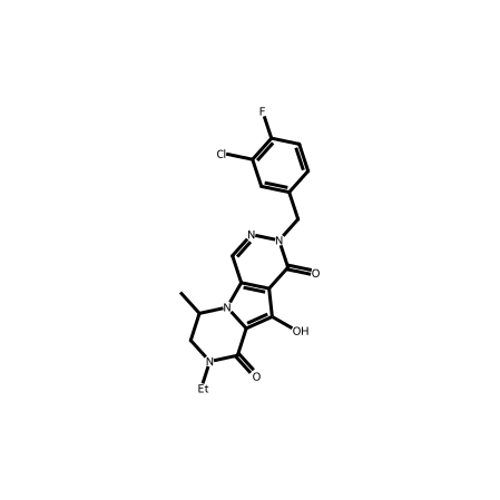 CCN1CC(C)n2c(c(O)c3c(=O)n(Cc4ccc(F)c(Cl)c4)ncc32)C1=O